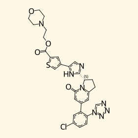 O=C(OCCN1CCOCC1)c1cc(-c2cnc([C@@H]3CCc4cc(-c5cc(Cl)ccc5-n5cnnn5)cc(=O)n43)[nH]2)cs1